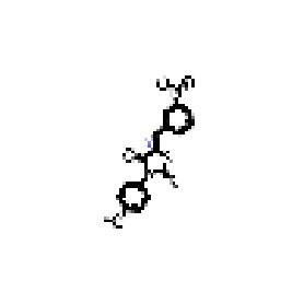 COc1ccc(N2C(=O)/C(=C/c3cccc([N+](=O)[O-])c3)SC2=S)cc1